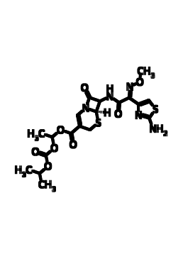 CON=C(C(=O)NC1C(=O)N2C=C(C(=O)OC(C)OC(=O)OC(C)C)CS[C@H]12)c1csc(N)n1